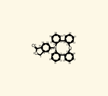 O=C1OCc2cc(N3c4ccccc4-c4ccccc4Oc4ccccc4-c4ccccc43)ccc21